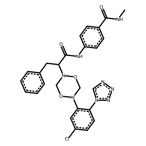 CNC(=O)c1ccc(NC(=O)C(Cc2ccccc2)N2CON(c3cc(Cl)ccc3-n3cnnn3)CO2)cc1